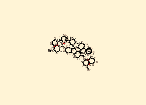 CCCCCCC(C)(CC)c1ccc2c(c1)C1(c3cc(N(c4ccc(Br)cc4)c4ccccc4-c4ccccc4)ccc3-c3ccc(N(c4ccc(Br)cc4)c4ccccc4-c4ccccc4)cc31)c1cc(C(C)(CC)CCCCCC)ccc1-2